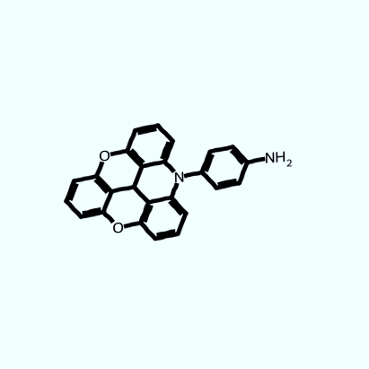 Nc1ccc(N2c3cccc4c3C3c5c(cccc5Oc5cccc2c53)O4)cc1